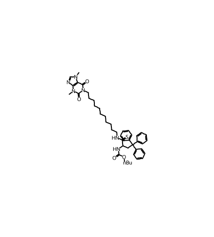 CCCCOC(=O)NC(CC(c1ccccc1)(c1ccccc1)c1ccccc1)C(=S)NCCCCCCCCCCCn1c(=O)c2c(ncn2C)n(C)c1=O